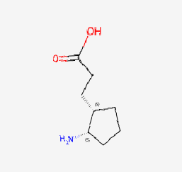 N[C@H]1CCC[C@H]1CCC(=O)O